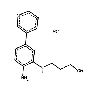 Cl.Nc1ccc(-c2cccnc2)cc1NCCCO